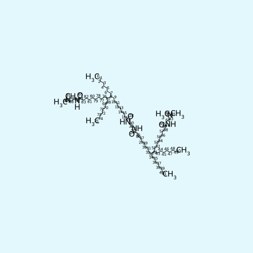 CCCCCCCCC(CCCCCCCCC(=O)NCCNC(=O)CCCCCCCCC(CCCCCCCC)C(CCCCCCCC)CCCCCCCCC(=O)NCCN(C)C)C(CCCCCCCC)CCCCCCCCC(=O)NCCN(C)C